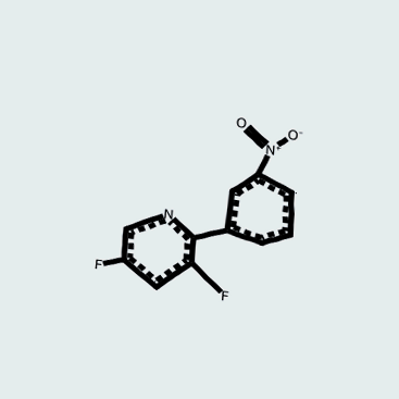 O=[N+]([O-])c1[c]ccc(-c2ncc(F)cc2F)c1